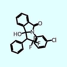 O=C1c2ccccc2C(O)(C(c2ccccc2)C(F)(F)F)N1c1cccc(Cl)c1